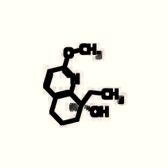 CC[C@@]1(O)CCCc2ccc(OC)nc21